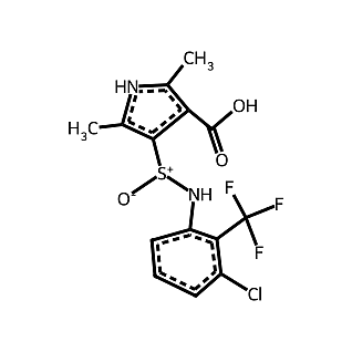 Cc1[nH]c(C)c([S+]([O-])Nc2cccc(Cl)c2C(F)(F)F)c1C(=O)O